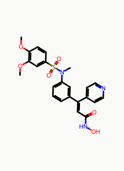 COc1ccc(S(=O)(=O)N(C)c2cccc(C(=CC(=O)NO)c3ccncc3)c2)cc1OC